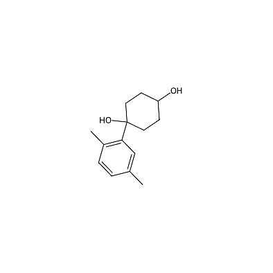 Cc1ccc(C)c(C2(O)CCC(O)CC2)c1